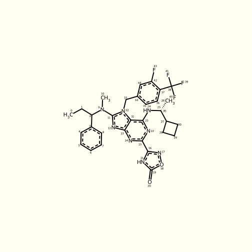 CCC(c1ccccc1)N(C)c1nc2nc(-c3noc(=O)[nH]3)nc(N[C@H](C)C3CCC3)c2n1Cc1ccc(C(F)(F)F)c(F)c1